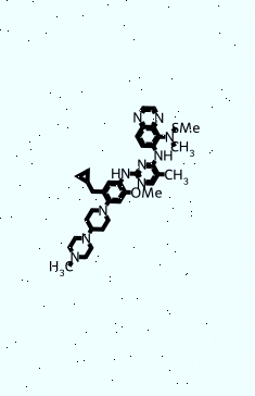 COc1cc(N2CCC(N3CCN(C)CC3)CC2)c(CC2CC2)cc1Nc1ncc(C)c(Nc2ccc3nccnc3c2N(C)SC)n1